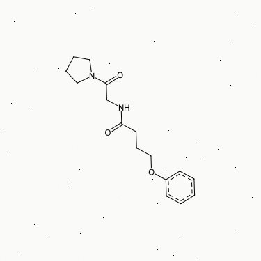 O=C(CCCOc1ccccc1)NCC(=O)N1CCCC1